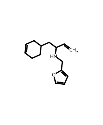 C=CC(CC1CC=CCC1)NCc1ccco1